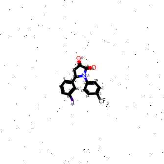 O=C1CC(c2cccc(I)c2)N(c2ccc(C(F)(F)F)cc2)C1=O